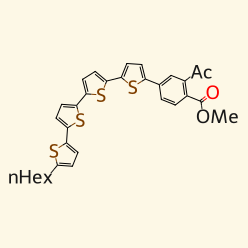 CCCCCCc1ccc(-c2ccc(-c3ccc(-c4ccc(-c5ccc(C(=O)OC)c(C(C)=O)c5)s4)s3)s2)s1